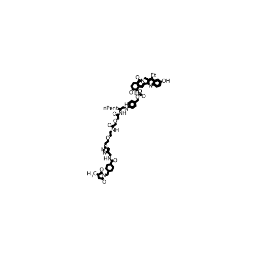 CCCCCC(CNc1ccc(COC(=O)OC2(CC)C(=O)CCc3c2cc2n(c3=O)Cc3c-2nc2ccc(O)cc2c3CC)cc1)NC(=O)COCC(=O)NCCOCCn1cc(CNC(=O)C2CCC(CN3C(=O)CC(C)C3=O)CC2)nn1